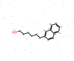 OCCCCCCc1ccc2ccccc2c1